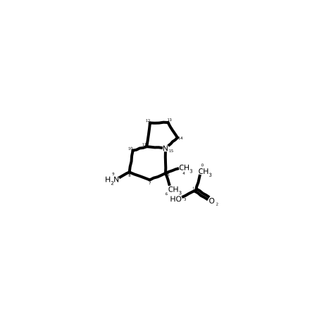 CC(=O)O.CC1(C)CC(N)CC2CCCN21